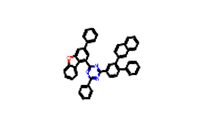 c1ccc(-c2cc(-c3nc(-c4ccccc4)nc(-c4ccc(-c5ccccc5)c(-c5ccc6ccccc6c5)c4)n3)c3c(c2)oc2ccccc23)cc1